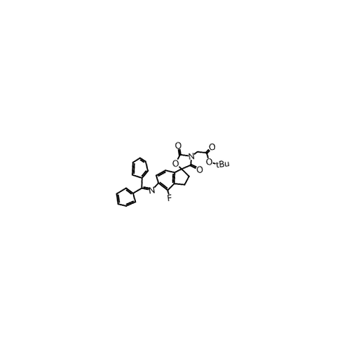 CC(C)(C)OC(=O)CN1C(=O)OC2(CCc3c2ccc(N=C(c2ccccc2)c2ccccc2)c3F)C1=O